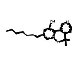 CCCCCCCc1cc(O)c2c(c1)OC(C)(C)c1ccncc1-2